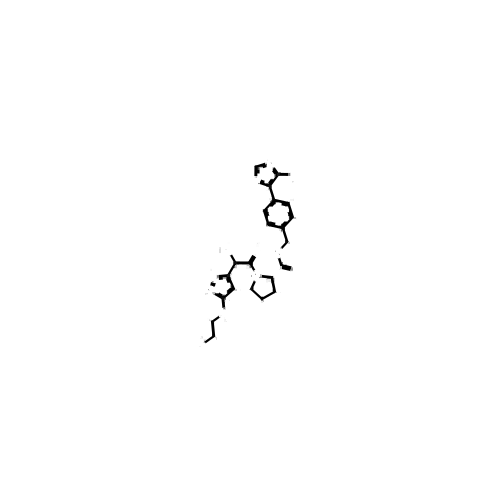 Cc1ncsc1-c1ccc(CNC(=O)[C@@H]2CCCN2C(=O)C(c2cc(OCCBr)no2)C(C)C)cc1